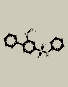 COc1cc(S(=O)(=O)Nc2ccccc2)ccc1-c1ccccc1